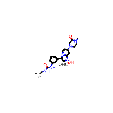 CN1CCN(c2ccn3c(-c4cccc(NC(=O)NCC(F)(F)F)c4)cnc3c2)CC1=O.O=CO